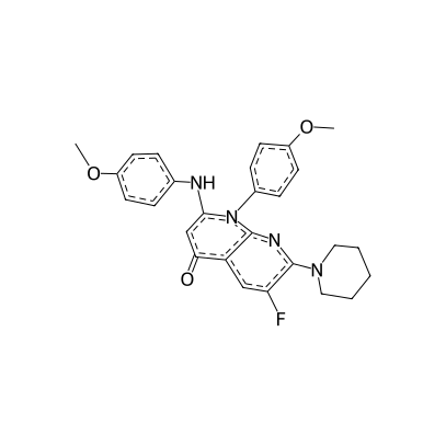 COc1ccc(Nc2cc(=O)c3cc(F)c(N4CCCCC4)nc3n2-c2ccc(OC)cc2)cc1